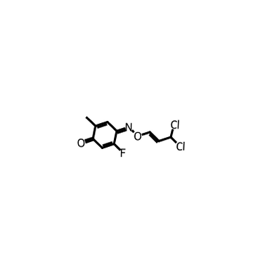 CC1=CC(=NOC=CC(Cl)Cl)C(F)=CC1=O